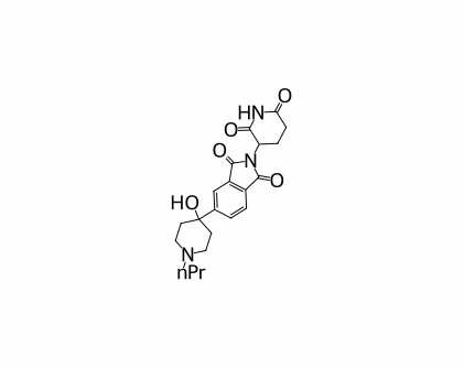 CCCN1CCC(O)(c2ccc3c(c2)C(=O)N(C2CCC(=O)NC2=O)C3=O)CC1